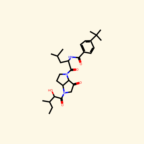 CCC(C)C(O)C(=O)N1CC(=O)C2C1CCN2C(=O)C(CC(C)C)NC(=O)c1ccc(C(C)(C)C)cc1